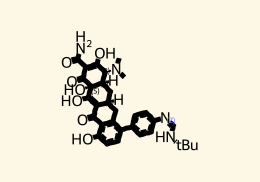 CN(C)[C@H]1C(O)=C(C(N)=O)C(=O)[C@@]2(O)C(O)=C3C(=O)c4c(O)ccc(-c5ccc(/N=C\NC(C)(C)C)cc5)c4C[C@H]3C[C@@H]12